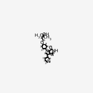 CC(C)(O)CCOc1ccc(-n2cc(-c3cccnc3)c3nc[nH]c(=O)c32)cc1